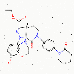 CCOC(=O)C1=NN(c2ccc(OC)cc2)[C@@]2(N3CCOCC3)C(=O)N(c3ccc(N4CCCCC4=O)cc3)CC[C@@H]12